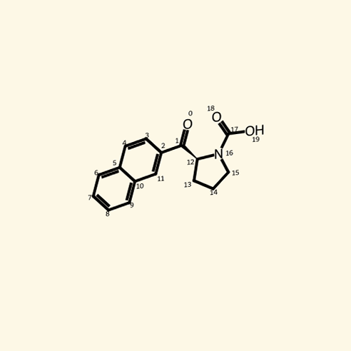 O=C(c1ccc2ccccc2c1)[C@@H]1CCCN1C(=O)O